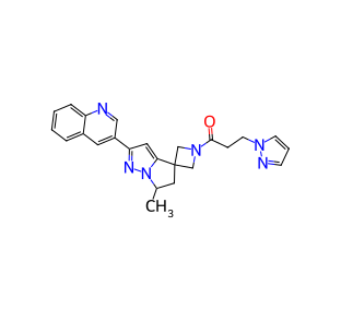 CC1CC2(CN(C(=O)CCn3cccn3)C2)c2cc(-c3cnc4ccccc4c3)nn21